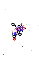 CCOC(=O)N[C@]1(C(C)CC)CCN([C@@H](CCc2ccccc2)C(=O)N[C@@H](Cc2ccccc2)[C@@H](O)CNCc2cccc(OC)c2)C1=O